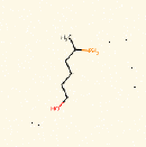 CC(P)C[CH]CCO